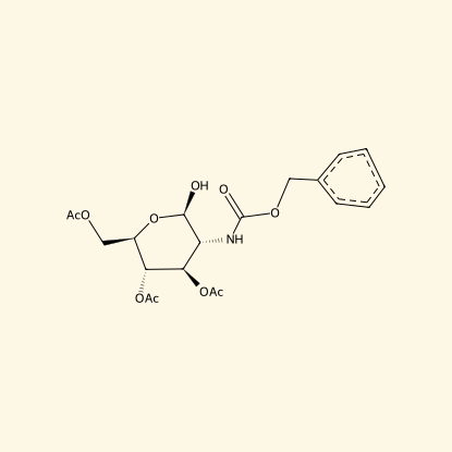 CC(=O)OC[C@H]1O[C@@H](O)[C@H](NC(=O)OCc2ccccc2)[C@@H](OC(C)=O)[C@@H]1OC(C)=O